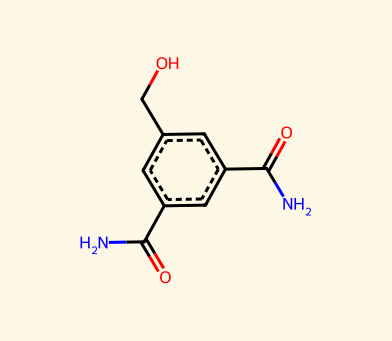 NC(=O)c1cc(CO)cc(C(N)=O)c1